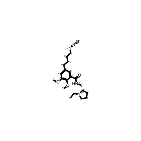 CCN1CCC[C@H]1CNC(=O)c1cc(CCCCN=[N+]=[N-])cc(OC)c1OC